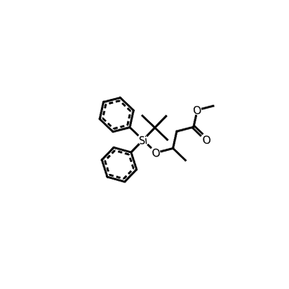 COC(=O)CC(C)O[Si](c1ccccc1)(c1ccccc1)C(C)(C)C